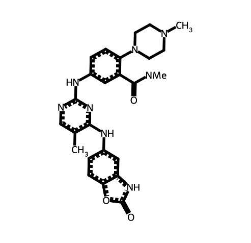 CNC(=O)c1cc(Nc2ncc(C)c(Nc3ccc4oc(=O)[nH]c4c3)n2)ccc1N1CCN(C)CC1